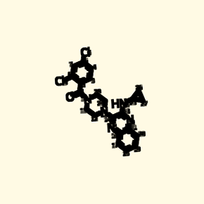 O=C(c1ccc(Cl)cc1Cl)N1CCN(c2nc3ccccc3nc2NC2CC2)CC1